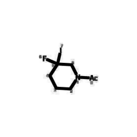 CC(=O)N1CCCC(F)(I)C1